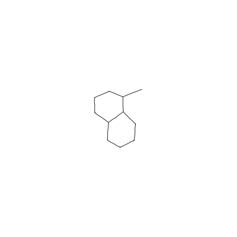 CC1CCCC2CCCCC12